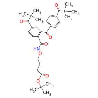 CC(C)(C)OC(=O)CCCONC(=O)c1ccc(C(=O)C(C)(C)C)cc1C(=O)c1ccc(C(=O)C(C)(C)C)cc1